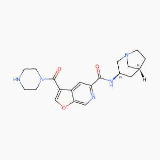 O=C(N[C@@H]1C[C@H]2CCN(C2)C1)c1cc2c(C(=O)N3CCNCC3)coc2cn1